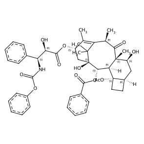 CC(=O)O[C@@]12CC[C@@H]1C[C@H](O)[C@@]1(C)C(=O)[C@H](C)C3=C(C)[C@@H](OC(=O)[C@H](O)[C@@H](NC(=O)Oc4ccccc4)c4ccccc4)C[C@@](O)([C@@H](OC(=O)c4ccccc4)[C@H]21)C3(C)C